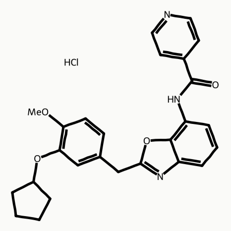 COc1ccc(Cc2nc3cccc(NC(=O)c4ccncc4)c3o2)cc1OC1CCCC1.Cl